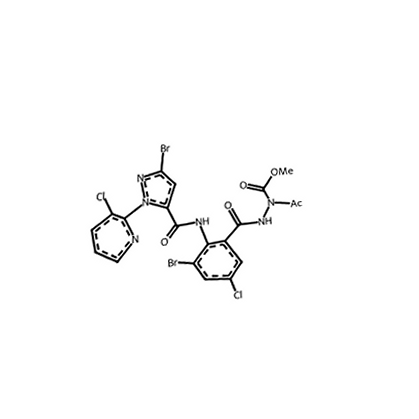 COC(=O)N(NC(=O)c1cc(Cl)cc(Br)c1NC(=O)c1cc(Br)nn1-c1ncccc1Cl)C(C)=O